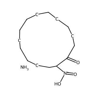 N.O=C1CCCCCCCCCCCCCC1[N+](=O)O